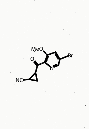 COc1cc(Br)cnc1C(=O)C1CC1C#N